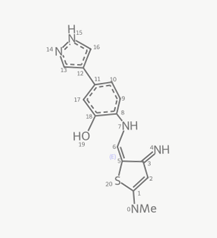 CNC1=CC(=N)/C(=C\Nc2ccc(-c3cn[nH]c3)cc2O)S1